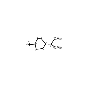 [2H]N1CCC(C(OC)OC)CC1